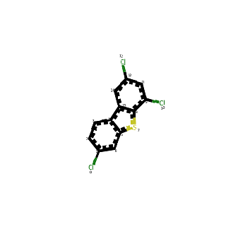 Clc1ccc2c(c1)sc1c(Cl)cc(Cl)cc12